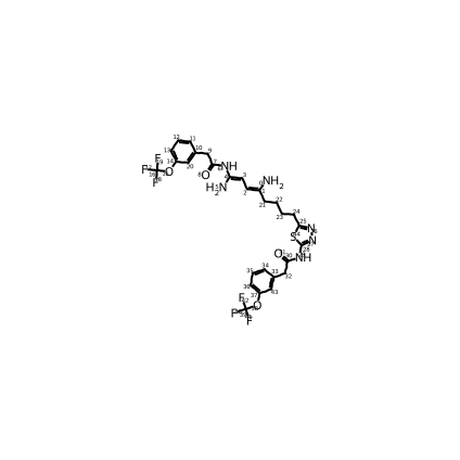 N/C(=C\C=C(/N)NC(=O)Cc1cccc(OC(F)(F)F)c1)CCCCc1nnc(NC(=O)Cc2cccc(OC(F)(F)F)c2)s1